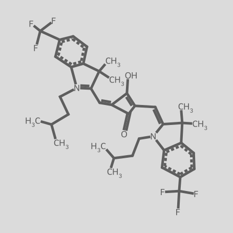 CC(C)CCN1/C(=C\C2=C(O)C(=C\C3=[N+](CCC(C)C)c4cc(C(F)(F)F)ccc4C3(C)C)/C2=O)C(C)(C)c2ccc(C(F)(F)F)cc21